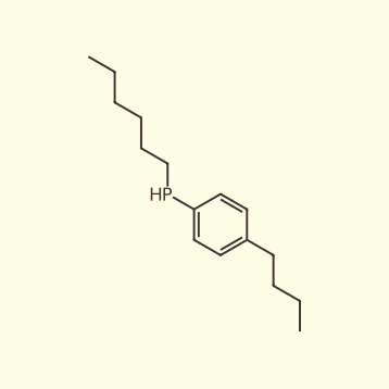 CCCCCCPc1ccc(CCCC)cc1